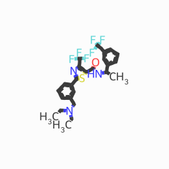 CCN(CC)Cc1cccc(-c2nc(C(F)(F)F)c(C(=O)NC(C)c3cccc(C(F)(F)F)c3)s2)c1